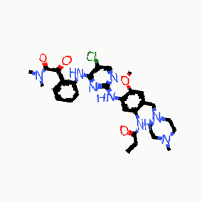 C=CC(=O)Nc1cc(Nc2ncc(Cl)c(Nc3ccccc3C(=O)C(=O)N(C)C)n2)c(OC)cc1CN1CCN(C)CC1